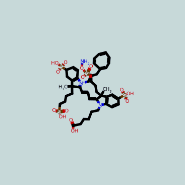 CC1(CCCCS(=O)(=O)O)C2=C(C=CC(S(=O)(=O)O)C2)[N+](CCCC2=C/C=C\C=C/C=C\2)=C1/C=C/C=C1/N(CCCCCC(=O)O)c2ccc(S(=O)(=O)O)cc2C1(C)CCCCS(=O)(=O)ON